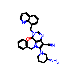 N#Cc1c(N2CCCC(N)C2)n(Cc2ccccc2)c2c(=O)n(Cc3cccc4cccnc34)cnc12